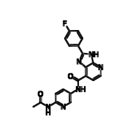 CC(=O)Nc1ccc(NC(=O)c2ccnc3[nH]c(-c4ccc(F)cc4)nc23)cn1